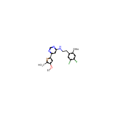 CCOc1cc(-c2cc(NCCc3cc(F)c(F)cc3OC)ncn2)sc1C(=O)O